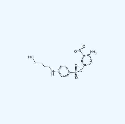 Nc1ccc(OS(=O)(=O)c2ccc(NCCCCO)cc2)cc1[N+](=O)[O-]